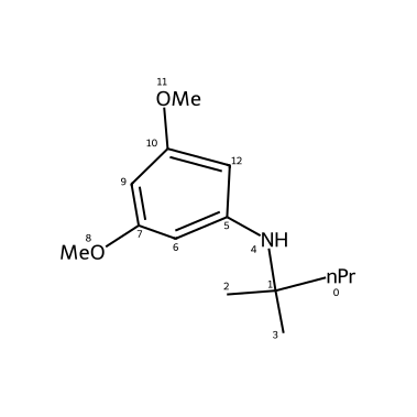 CCCC(C)(C)Nc1cc(OC)cc(OC)c1